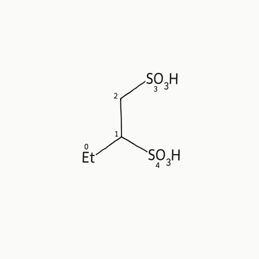 CCC(CS(=O)(=O)O)S(=O)(=O)O